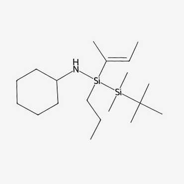 C/C=C(\C)[Si](CCC)(NC1CCCCC1)[Si](C)(C)C(C)(C)C